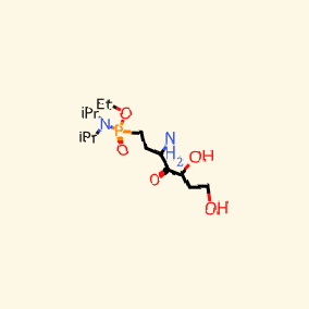 CCOP(=O)(CCC(N)C(=O)C(O)CCO)N(C(C)C)C(C)C